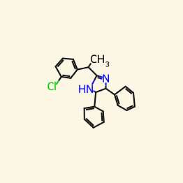 CC(C1=NC(c2ccccc2)C(c2ccccc2)N1)c1cccc(Cl)c1